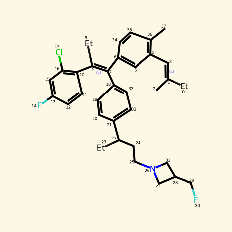 CC/C(C)=C/c1cc(/C(=C(\CC)c2ccc(F)cc2Cl)c2ccc(C(CC)CCN3CC(CF)C3)cc2)ccc1C